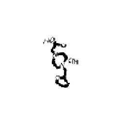 Cl.O=C(O)CN1CCN(CC2CCCO2)CC1